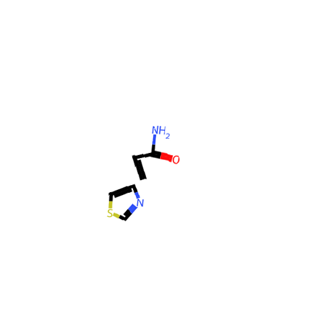 C=CC(N)=O.c1cscn1